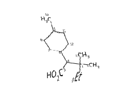 CCC(C)(C)C(C(=O)O)C1CCC(C)CC1